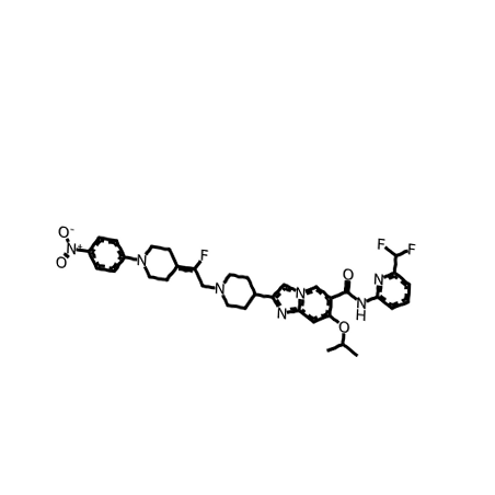 CC(C)Oc1cc2nc(C3CCN(CC(F)=C4CCN(c5ccc([N+](=O)[O-])cc5)CC4)CC3)cn2cc1C(=O)Nc1cccc(C(F)F)n1